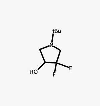 CC(C)(C)N1CC(O)C(F)(F)C1